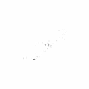 CCCCCC/C=C\COC(=O)CCCCCN(CCCCCC(=O)OC/C=C\CCCCCC)NC(=O)OC(C)(C)C